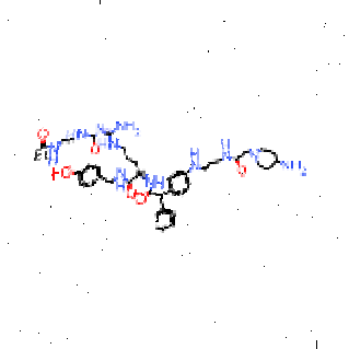 CCC(=O)NCCNC(=O)/N=C(/N)NCCC[C@@H](NC(=O)C(c1ccccc1)c1ccc(NCCCNC(=O)CN2CCC(N)CC2)cc1)C(=O)NCc1ccc(O)cc1